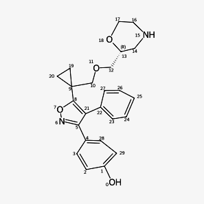 Oc1ccc(-c2noc(C3(COC[C@H]4CNCCO4)CC3)c2-c2ccccc2)cc1